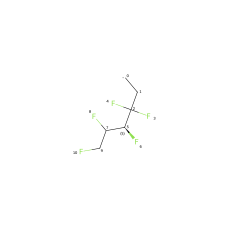 [CH2]CC(F)(F)[C@@H](F)C(F)CF